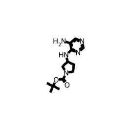 CC(C)(C)OC(=O)N1CCC(Nc2ncncc2N)C1